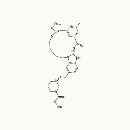 Cc1cc2cc(n1)-c1cnn(C)c1OCCCCCN1/C(=N/C2=O)Nc2ccc(CO[C@@H]3CCCN(C(=O)OC(C)(C)C)C3)cc21